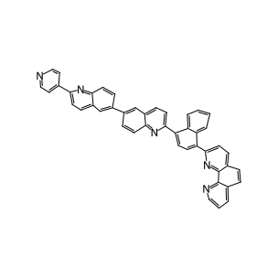 c1cnc2c(c1)ccc1ccc(-c3ccc(-c4ccc5cc(-c6ccc7nc(-c8ccncc8)ccc7c6)ccc5n4)c4ccccc34)nc12